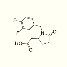 O=C(O)C[C@@H]1CCC(=O)N1Cc1ccc(F)c(F)c1